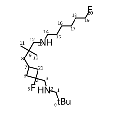 CC(C)(C)CNCC1(F)CC(CC(C)(C)CNCCCCCCF)C1